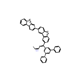 C/C=C\C=C(c1cc(-c2ccccc2)cc(-c2ccccc2)c1)c1ccc2sc3ccc(-c4ccc5c(c4)sc4ccccc45)cc3c2c1